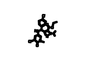 CCOC(=O)c1c(C(Nc2cc(Cl)c(=O)n(C)c2)c2ccc(Cl)cc2)cnn1C(C)C